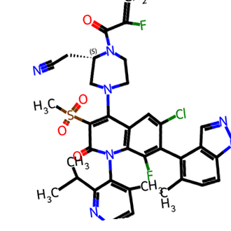 C=C(F)C(=O)N1CCN(c2c(S(C)(=O)=O)c(=O)n(-c3c(C)ccnc3C(C)C)c3c(F)c(-c4c(C)ccc5[nH]ncc45)c(Cl)cc23)C[C@@H]1CC#N